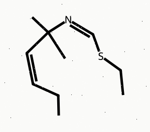 CC/C=C\C(C)(C)/N=C\SCC